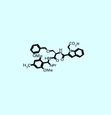 CCCC(NC(=O)[C@@H](COCc1ccccc1)NC(=O)c1cc2ccccc2n1CC(=O)O)c1c(OC)cc(C)cc1OC